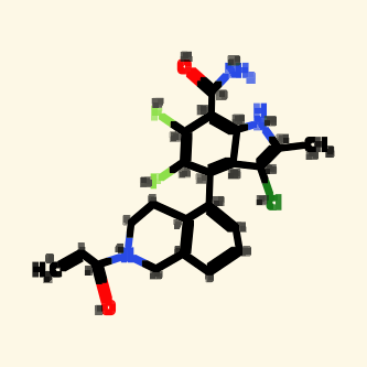 C=CC(=O)N1CCc2c(cccc2-c2c(F)c(F)c(C(N)=O)c3[nH]c(C)c(Cl)c23)C1